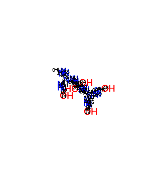 CCCn1cc(CN(Cc2cn(CCO)nn2)Cc2cn(CC(CO)(CO)Cn3cc(CN(Cc4cn(CCO)nn4)Cc4cn(CCO)nn4)nn3)nn2)nn1